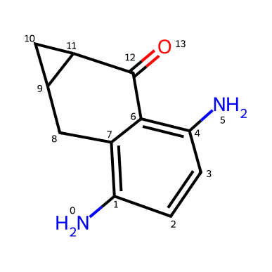 Nc1ccc(N)c2c1CC1CC1C2=O